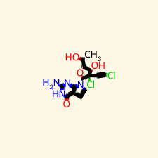 C[C@H](O)[C@H]1O[C@@H](n2ccc3c(=O)[nH]c(N)nc32)[C@@](Cl)(C#CCl)C1O